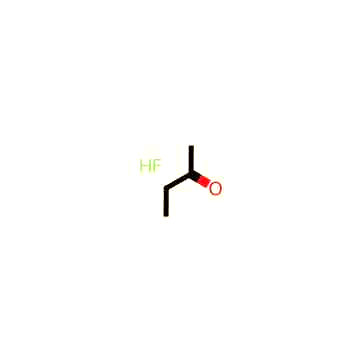 CCC(C)=O.F